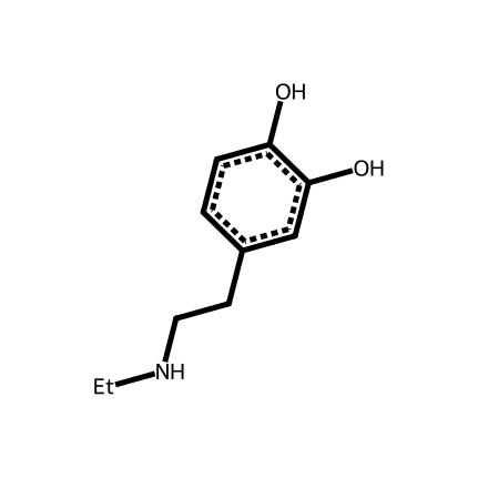 CCNCCc1ccc(O)c(O)c1